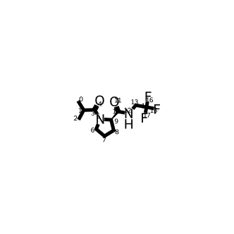 CC(C)C(=O)N1CCC[C@@H]1C(=O)NCC(F)(F)F